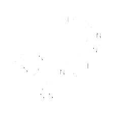 Cc1cc2c(-c3ccc4nc(Cc5nnc(CC(=O)NC6(C#N)CC6)o5)sc4c3F)ncnc2s1